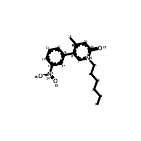 CCCCCCn1cc(-c2cccc([N+](=O)[O-])c2)c(C)cc1=O